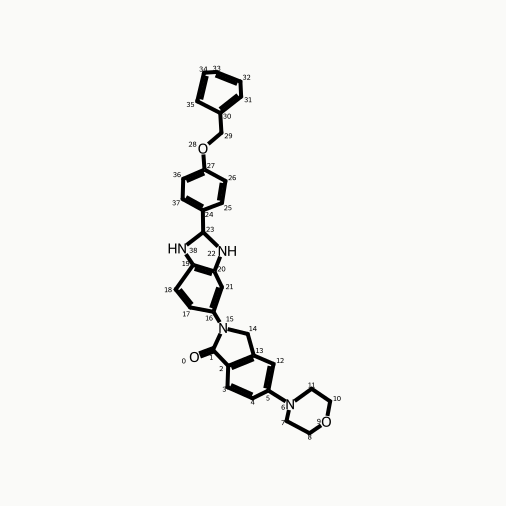 O=C1c2ccc(N3CCOCC3)cc2CN1c1ccc2c(c1)NC(c1ccc(OCc3ccccc3)cc1)N2